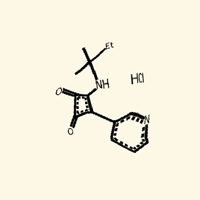 CCC(C)(C)Nc1c(-c2cccnc2)c(=O)c1=O.Cl